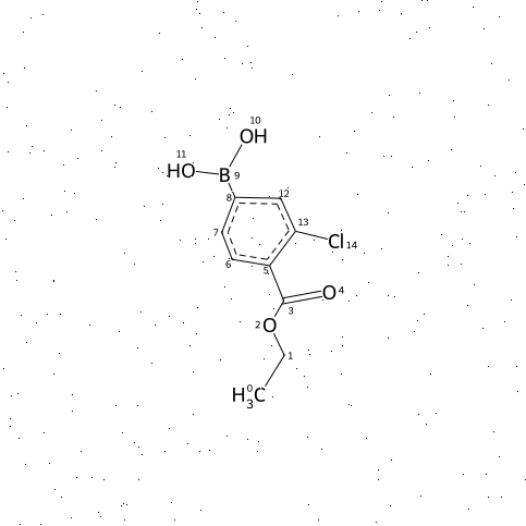 CCOC(=O)c1ccc(B(O)O)cc1Cl